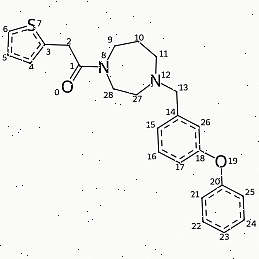 O=C(Cc1cccs1)N1CCCN(Cc2cccc(Oc3ccccc3)c2)CC1